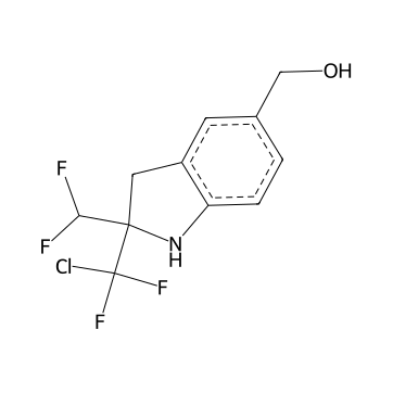 OCc1ccc2c(c1)CC(C(F)F)(C(F)(F)Cl)N2